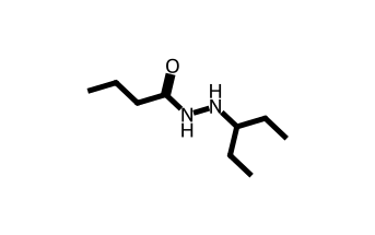 CCCC(=O)NNC(CC)CC